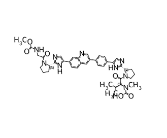 COC(=O)NCC(=O)N1CCC[C@H]1c1ncc(-c2ccc3cc(-c4ccc(-c5cnc([C@@H]6CCCN6C(=O)[C@H](C(C)C)N(C)C(=O)O)[nH]5)cc4)cnc3c2)[nH]1